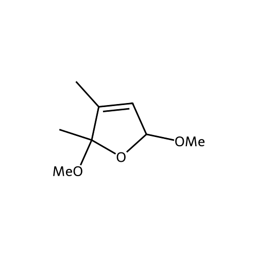 COC1C=C(C)C(C)(OC)O1